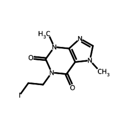 Cn1cnc2c1c(=O)n(CCI)c(=O)n2C